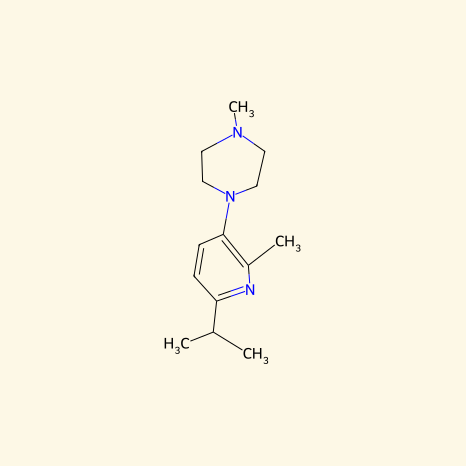 Cc1nc(C(C)C)ccc1N1CCN(C)CC1